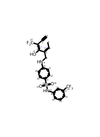 C#C/C(=C(O)\C(=C/C)CNc1ccc(S(=O)(=O)Nc2cccc(C(F)(F)F)c2)cc1)C(F)(F)F